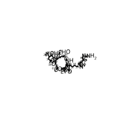 CC[C@H]1OC(=O)[C@H](C)C(=O)[C@H](C)[C@@H](O[C@@H]2OC(C)CC(N(C)C)C2O)[C@@H](CC=O)C[C@@H](C)CN[C@H](C)[C@H]2N(CCCCn3cc(-c4cnc(N)s4)nn3)C(=O)O[C@]12C